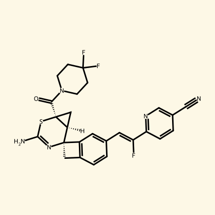 N#Cc1ccc(/C(F)=C/c2ccc3c(c2)[C@@]2(C3)N=C(N)S[C@@]3(C(=O)N4CCC(F)(F)CC4)C[C@H]32)nc1